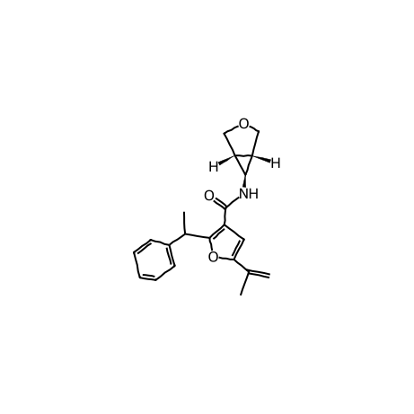 C=C(C)c1cc(C(=O)N[C@H]2[C@@H]3COC[C@@H]32)c(C(C)c2ccccc2)o1